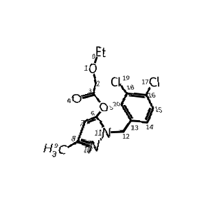 CCOCC(=O)Oc1cc(C)nn1Cc1ccc(Cl)c(Cl)c1